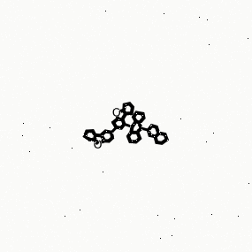 c1ccc2cc(-c3c4ccccc4c(-c4cc(-c5ccc6oc7ccccc7c6c5)cc5oc6ccccc6c45)c4ccccc34)ccc2c1